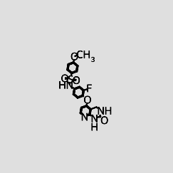 COc1ccc(S(=O)(=O)Nc2ccc(Oc3ccnc4c3CNC(=O)N4)c(F)c2)cc1